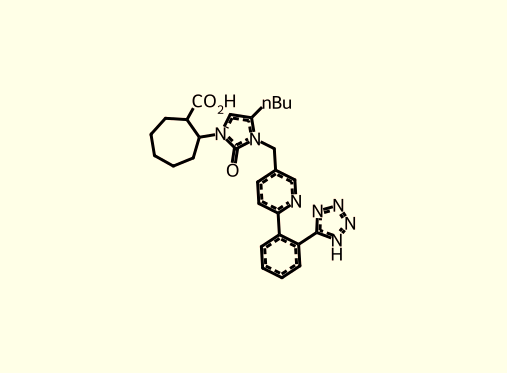 CCCCc1cn(C2CCCCCC2C(=O)O)c(=O)n1Cc1ccc(-c2ccccc2-c2nnn[nH]2)nc1